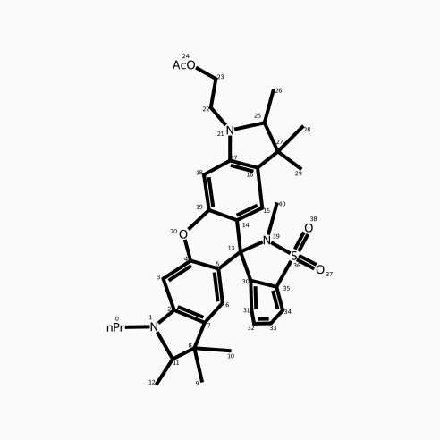 CCCN1c2cc3c(cc2C(C)(C)C1C)C1(c2cc4c(cc2O3)N(CCOC(C)=O)C(C)C4(C)C)c2ccccc2S(=O)(=O)N1C